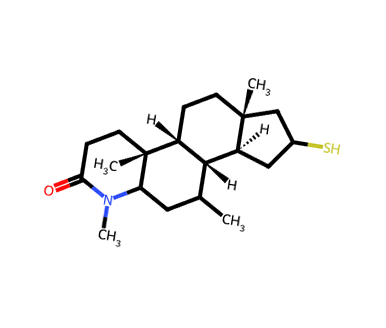 CC1CC2N(C)C(=O)CC[C@]2(C)[C@@H]2CC[C@]3(C)CC(S)C[C@H]3[C@H]12